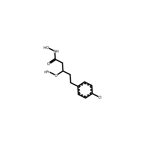 CCCOC(CCc1ccc(Cl)cc1)CC(=O)NO